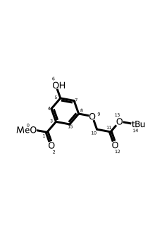 COC(=O)c1cc(O)cc(OCC(=O)OC(C)(C)C)c1